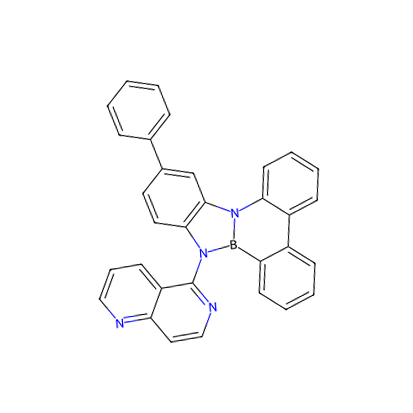 c1ccc(-c2ccc3c(c2)N2B(c4ccccc4-c4ccccc42)N3c2nccc3ncccc23)cc1